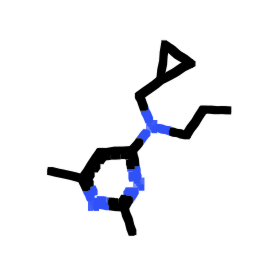 CCCN(CC1CC1)c1cc(C)nc(C)n1